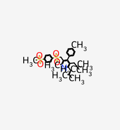 Cc1ccc(-c2c(CS(=O)(=O)c3ccc(S(C)(=O)=O)cc3)c(C)nc(CC(C)C)c2CC(C)(C)C)cc1